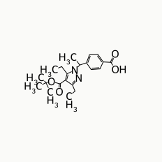 CCc1nn(C(C)c2ccc(C(=O)O)cc2)c(CC)c1C(=O)OC(C)(C)C